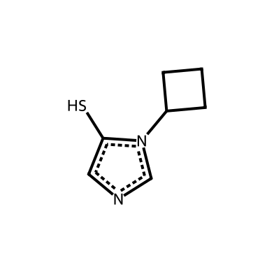 Sc1cncn1C1CCC1